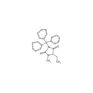 CCC1C(=O)N([Si](c2ccccc2)(c2ccccc2)c2ccccc2)C(=O)N1C